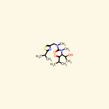 CC(C)C(=O)C(C(C)O)N(C)C(=O)N(C)Cc1csc(C(C)C)n1